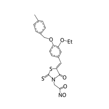 CCOc1cc(/C=C2\SC(=S)N(CC(=O)N=O)C2=O)ccc1OCc1ccc(C)cc1